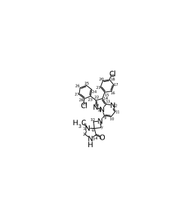 CN1CNC(=O)C12CN(c1ccnc3c(-c4ccc(Cl)cc4)c(-c4ccccc4Cl)nn13)C2